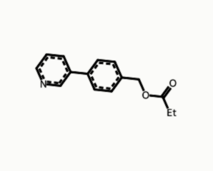 CCC(=O)OCc1ccc(-c2cccnc2)cc1